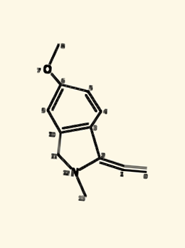 C=C=C1c2ccc(OC)cc2CN1C